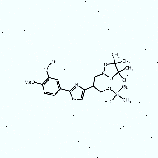 CCOc1cc(-c2nc(C(CO[Si](C)(C)C(C)(C)C)CB3OC(C)(C)C(C)(C)O3)cs2)ccc1OC